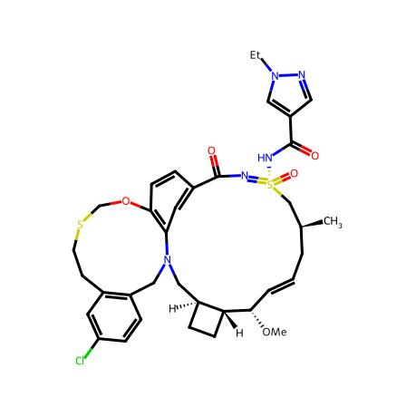 CCn1cc(C(=O)N[S@@]2(=O)=NC(=O)c3ccc4c(c3)N(Cc3ccc(Cl)cc3CCSCO4)C[C@@H]3CC[C@H]3[C@@H](OC)/C=C/C[C@H](C)C2)cn1